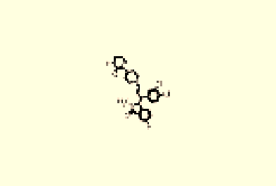 CN1C(=O)c2cc(F)ccc2C1C(CCN1CCC(N2CCCNC2=O)CC1)c1ccc(Cl)c(Cl)c1